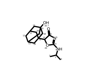 CC(C)NC1=NC(=O)C(C23CC4CC(CC(O)(C4)C2)C3)O1